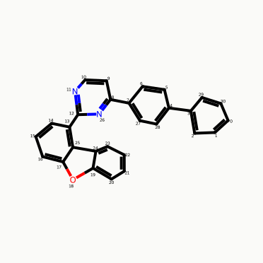 c1ccc(-c2ccc(-c3ccnc(-c4cccc5oc6ccccc6c45)n3)cc2)cc1